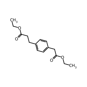 CCOC(=O)CCc1ccc(CC(=O)OCC)cc1